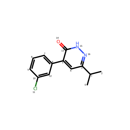 CC(C)c1cc(-c2cccc(Cl)c2)c(=O)[nH]n1